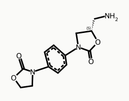 NC[C@H]1CN(c2ccc(N3CCOC3=O)cc2)C(=O)O1